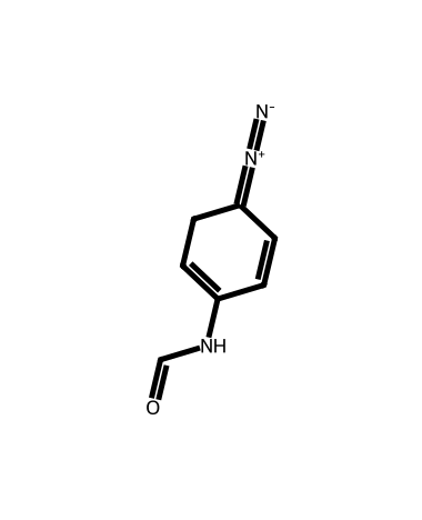 [N-]=[N+]=C1C=CC(NC=O)=CC1